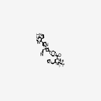 N#CCC1(n2cc(-c3ncnc4[nH]ccc34)cn2)CC(N2CCN(C(=O)c3cc(CN4CCC4)nc(C(F)(F)F)n3)CC2)C1